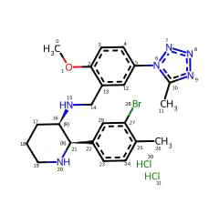 COc1ccc(-n2nnnc2C)cc1CN[C@@H]1CCCN[C@@H]1c1ccc(C)c(Br)c1.Cl.Cl